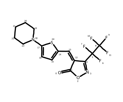 O=C1ON=C(C(F)(F)C(F)(F)F)C1=Cc1ccc(N2CCCCC2)s1